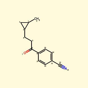 CC1CC1CCC(=O)c1ccc(C#N)cc1